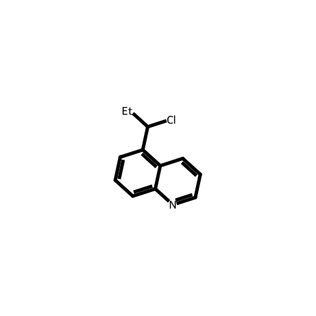 CCC(Cl)c1cccc2ncccc12